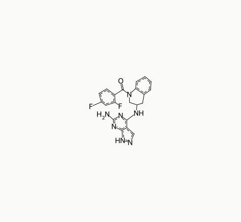 Nc1nc(NC2Cc3ccccc3N(C(=O)c3ccc(F)cc3F)C2)c2cn[nH]c2n1